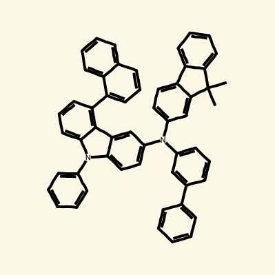 CC1(C)c2ccccc2-c2ccc(N(c3cccc(-c4ccccc4)c3)c3ccc4c(c3)c3c(-c5cccc6ccccc56)cccc3n4-c3ccccc3)cc21